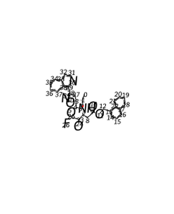 CC(C)[C@@]1(C(=O)N[C@@H](CC(=O)OCc2cccc3ccccc23)C(=O)CF)CC(c2nccc3ccccc23)=NO1